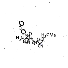 COCCNC(C)(C)/C=C(/C#N)C(=O)N1CC[C@H]1Cn1c(=O)n(-c2ccc(Oc3ccccc3)cc2)c2c(N)ncnc21